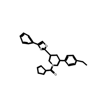 CCc1ccc(C2CC(c3nc(-c4ccccc4)co3)CN(C(=O)C3CCCC3)C2)cc1